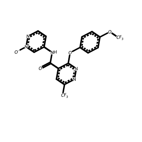 O=C(Nc1ccn[n+]([O-])c1)c1cc(C(F)(F)F)nnc1Oc1ccc(OC(F)(F)F)cc1